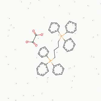 O=C([O-])C(=O)[O-].c1ccc([P+](CCCC[P+](c2ccccc2)(c2ccccc2)c2ccccc2)(c2ccccc2)c2ccccc2)cc1